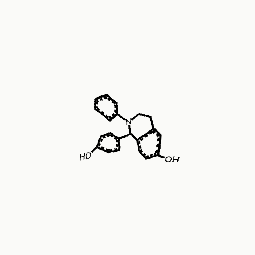 Oc1ccc(C2c3ccc(O)cc3CCN2c2ccccc2)cc1